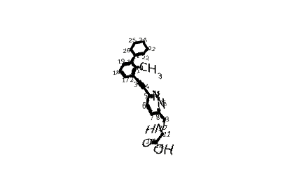 Cc1c(C#Cc2ccc(CNCC(=O)O)nn2)cccc1C1=CCCCC1